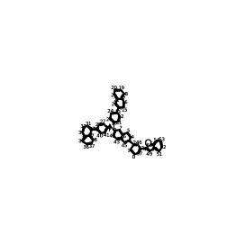 c1cc(-c2ccc3cc(N(c4ccc(-c5ccc6ccccc6c5)cc4)c4ccc(-c5cccc6ccccc56)cc4)ccc3c2)cc(-c2cc3ccccc3o2)c1